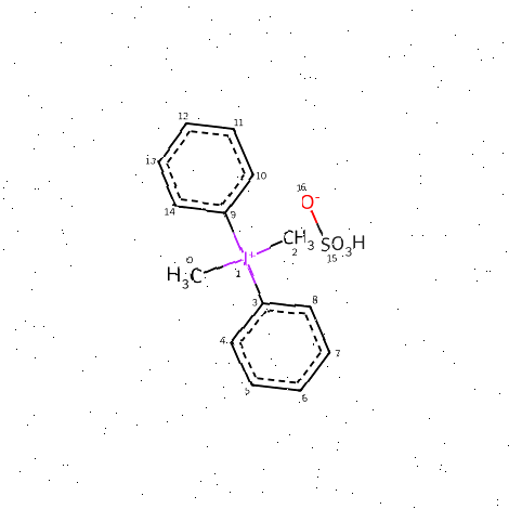 C[I+](C)(c1ccccc1)c1ccccc1.O=S(=O)([O-])O